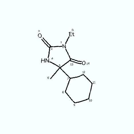 CCN1C(=O)NC(C)(C2CCCCC2)C1=O